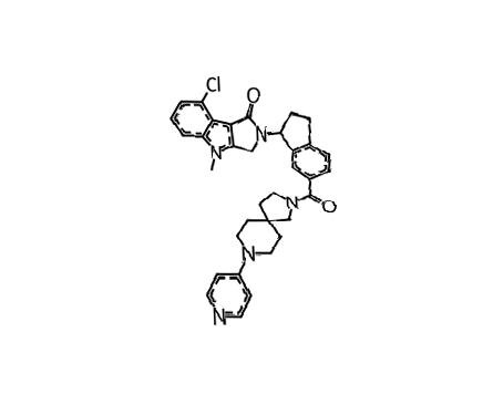 Cn1c2c(c3c(Cl)cccc31)C(=O)N(C1CCc3ccc(C(=O)N4CCC5(CCN(c6ccncc6)CC5)C4)cc31)C2